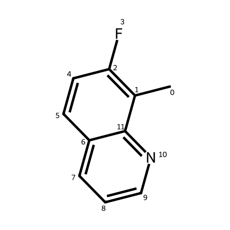 Cc1c(F)ccc2cccnc12